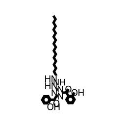 CCCCCCCCCCCCCCCCCCNNNc1nc(C(=O)c2ccccc2O)nc(C(=O)c2ccccc2O)n1